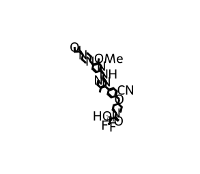 COc1nc(Nc2ncc(C)c(-c3ccc(OC4CCN(C(=O)[C@@H](O)C(F)F)CC4)c(C#N)c3)n2)ccc1N1CCN(C2COC2)CC1